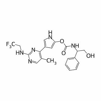 Cc1cnc(NCC(F)(F)F)nc1-c1c[nH]c(OC(=O)NC(CO)c2ccccc2)c1